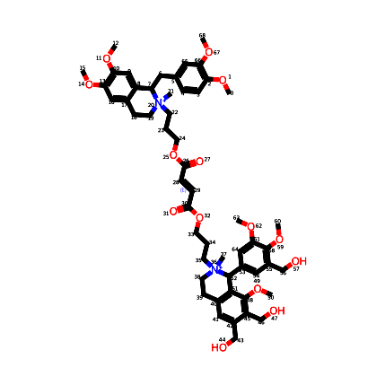 COc1ccc(CC2c3cc(OC)c(OC)cc3CC[N+]2(C)CCCOC(=O)/C=C/C(=O)OCCC[N+]2(C)CCc3cc(CO)c(CO)c(OC)c3C2c2cc(CO)c(OC)c(OC)c2)cc1OC